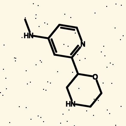 CNc1ccnc(C2CNCCO2)c1